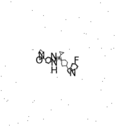 O=C(c1ccc2[nH]c([C@@H](C3CCC(c4ccnc5ccc(F)cc45)CC3)C3CC3)nc2c1)N1CCC1